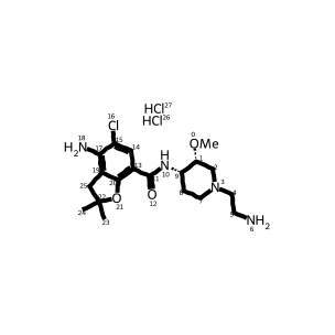 CO[C@@H]1CN(CCN)CC[C@@H]1NC(=O)c1cc(Cl)c(N)c2c1OC(C)(C)C2.Cl.Cl